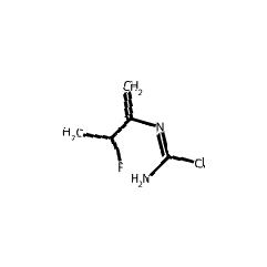 C=C(/N=C(\N)Cl)C(C)F